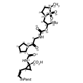 CCCCC/C=C\C1C[C@]1(NC(=O)[C@@H]1CCCN1C(=O)CNC(=O)OC(CN1CCN(C)S1(=O)=O)C(C)(C)C)C(=O)O